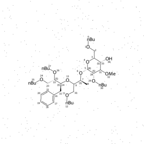 CCCCOCC1O[C@@H](O[C@@H](C)C(COCCCC)O[C@@H](Cc2ccccc2)[C@H](COCCCC)OCCCC)[C@@H](OCCCC)C(OC)[C@H]1O